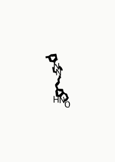 Cc1cccc(N2CCN(CCC=Cc3ccc4c(c3)CCC(=O)N4)CC2)c1